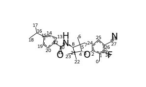 Cc1c(O[C@H]2C(C)(C)[C@H](NC(=O)c3ccc(C(C)C)cc3)C2(C)C)ccc(C#N)c1F